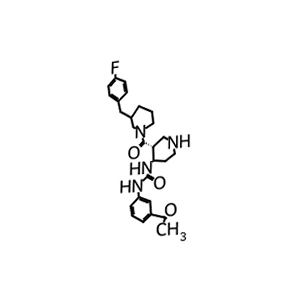 CC(=O)c1cccc(NC(=O)N[C@@H]2CCNC[C@H]2C(=O)N2CCCC(Cc3ccc(F)cc3)C2)c1